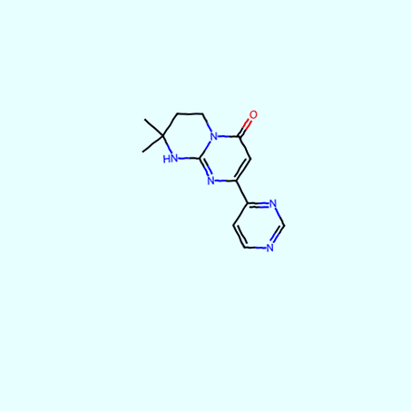 CC1(C)CCn2c(nc(-c3ccncn3)cc2=O)N1